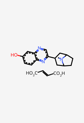 CN1C2CCC1CC(c1cnc3cc(O)ccc3n1)C2.O=C(O)C=CC(=O)O